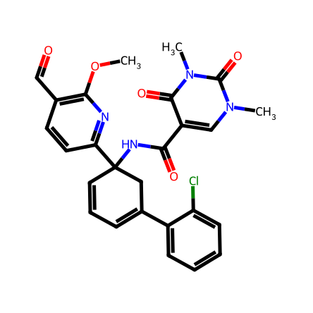 COc1nc(C2(NC(=O)c3cn(C)c(=O)n(C)c3=O)C=CC=C(c3ccccc3Cl)C2)ccc1C=O